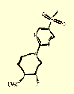 CS(=O)(=O)c1cnc(N2CC[C@H](C=O)[C@H](F)C2)nc1